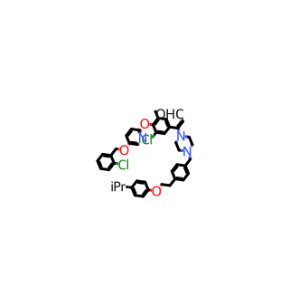 Cc1cc(/C(=C\C=O)N2CCN(Cc3ccc(CCOc4ccc(C(C)C)cc4)cc3)CC2)cc(Cl)c1Oc1ccc(OCc2ccccc2Cl)cn1